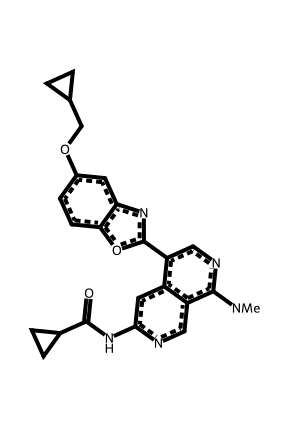 CNc1ncc(-c2nc3cc(OCC4CC4)ccc3o2)c2cc(NC(=O)C3CC3)ncc12